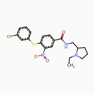 CCN1CCCC1CNC(=O)c1ccc(Sc2cccc(Cl)c2)c([N+](=O)[O-])c1